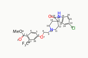 COC(=O)c1ccc(OCCN2CCC3(CC2)C(=O)Nc2ccc(Cl)cc23)cc1C(F)(F)F